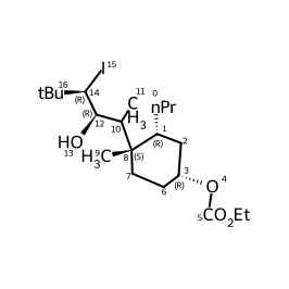 CCC[C@@H]1C[C@H](OC(=O)OCC)CC[C@]1(C)C(C)[C@@H](O)[C@H](I)C(C)(C)C